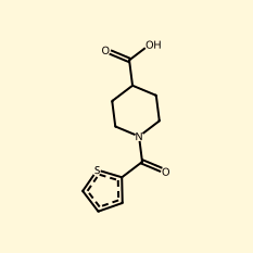 O=C(O)C1CCN(C(=O)c2cccs2)CC1